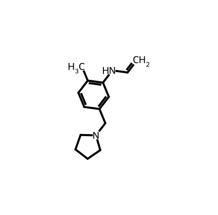 C=CNc1cc(CN2CCCC2)ccc1C